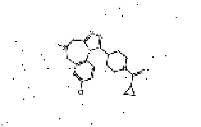 CN1Cc2cc(Cl)ccc2-n2c(nnc2C2CCN(C(=O)C3CC3)CC2)C1